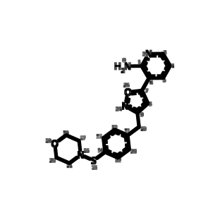 Nc1ncccc1-c1cc(Cc2ccc(SN3CCOCC3)cc2)no1